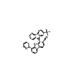 CC(C)(C)c1ccc2c3ccccc3n(-c3c(C#N)ccc4c3oc3c(-c5ccccn5)cccc34)c2c1